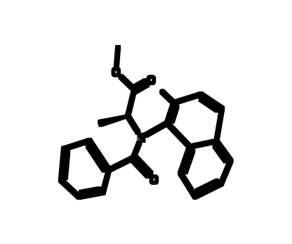 COC(=O)[C@H](C)N(C(=O)c1ccccc1)c1c(C)ccc2ccccc12